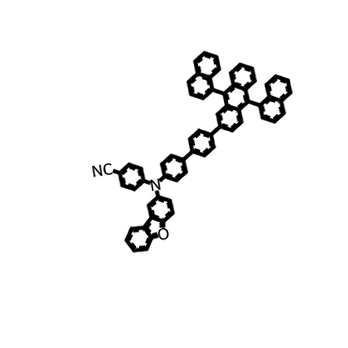 N#Cc1ccc(N(c2ccc(-c3ccc(-c4ccc5c(-c6cccc7ccccc67)c6ccccc6c(-c6cccc7ccccc67)c5c4)cc3)cc2)c2ccc3oc4ccccc4c3c2)cc1